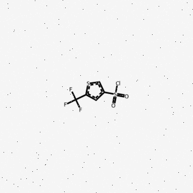 O=S(=O)(Cl)c1csc(C(F)(F)F)c1